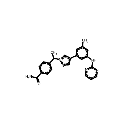 Cc1cc(Nc2ncccn2)cc(-c2cnn(C(C)c3ccc(C(N)=O)cc3)c2)c1